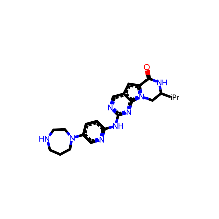 CC(C)C1Cn2c(cc3cnc(Nc4ccc(N5CCCNCC5)cn4)nc32)C(=O)N1